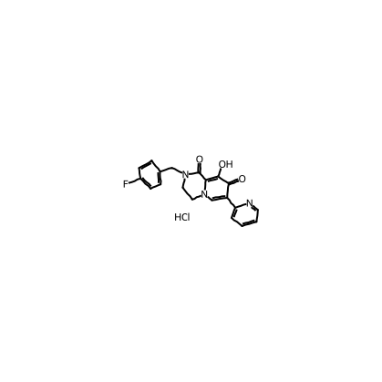 Cl.O=C1c2c(O)c(=O)c(-c3ccccn3)cn2CCN1Cc1ccc(F)cc1